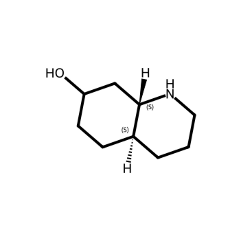 OC1CC[C@@H]2CCCN[C@H]2C1